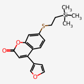 C[Si](C)(C)CCSc1ccc2c(-c3ccoc3)cc(=O)oc2c1